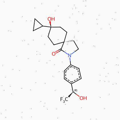 O=C1N(c2ccc([C@@H](O)C(F)(F)F)cc2)CC[C@]12CC[C@@](O)(C1CC1)CC2